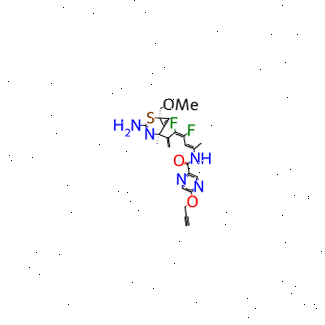 C#CCOc1cnc(C(=O)N/C(C)=C/C(F)=C(/F)C(=C)[C@@]2(C)N=C(N)S[C@@]3(COC)C=C23)cn1